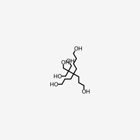 OCCCCC(CCCO)(CCCO)C(CO)(CO)CO